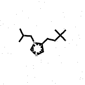 CC(C)Cn1cncc1CCC(C)(C)C